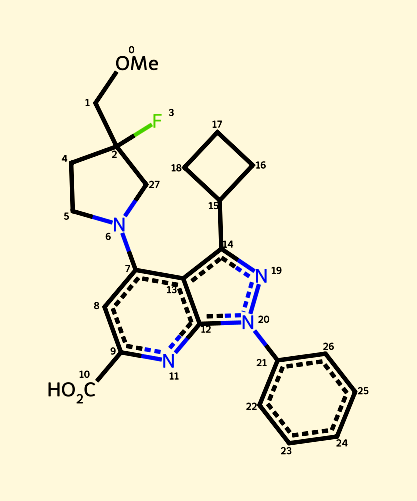 COCC1(F)CCN(c2cc(C(=O)O)nc3c2c(C2CCC2)nn3-c2ccccc2)C1